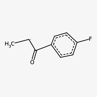 C[CH]C(=O)c1ccc(F)cc1